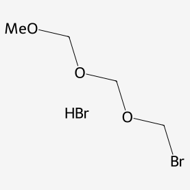 Br.COCOCOCBr